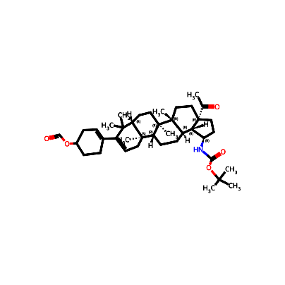 CC(=O)[C@]12CC[C@@H](NC(=O)OC(C)(C)C)[C@@H]1[C@H]1CC[C@@H]3[C@@]4(C)CC=C(C5=CCC(OC=O)CC5)C(C)(C)[C@@H]4CC[C@@]3(C)[C@]1(C)CC2